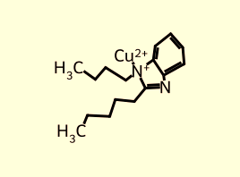 CCCCCC1=Nc2ccccc2[N+]1([Cu+2])CCCC